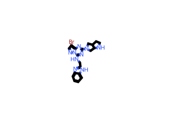 Brc1cnn2c(NCc3nc4ccccc4[nH]3)nc(N3CC4CCNC4C3)nc12